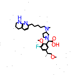 COC[C@H](C)c1cc(F)c(OC)c([C@H](C(=O)O)N2CC[C@@H](N(C)CCCCCc3ccc4c(n3)NCCC4)C2)c1